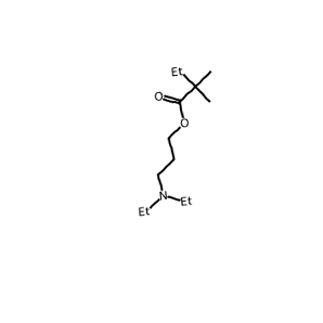 CCN(CC)CCCOC(=O)C(C)(C)CC